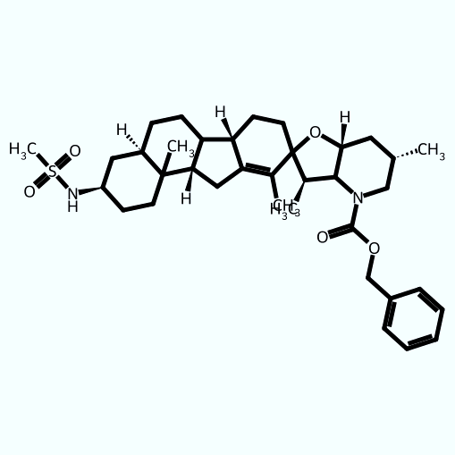 CC1=C2C[C@H]3C(CC[C@@H]4C[C@H](NS(C)(=O)=O)CCC43C)[C@@H]2CCC12O[C@@H]1C[C@H](C)CN(C(=O)OCc3ccccc3)C1[C@H]2C